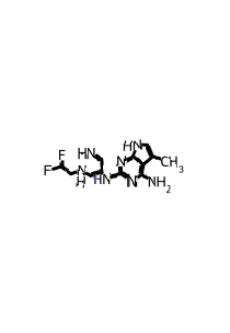 Cc1c[nH]c2nc(N/C(C=N)=C/NCC(F)F)nc(N)c12